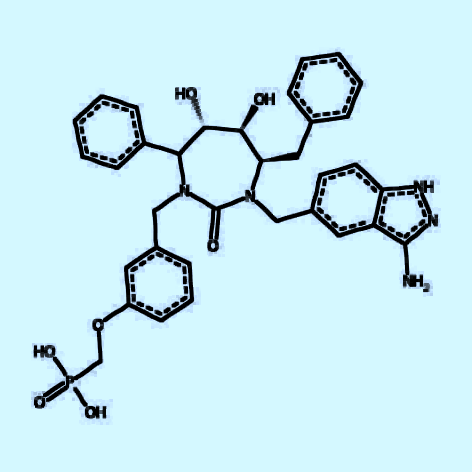 Nc1n[nH]c2ccc(CN3C(=O)N(Cc4cccc(OCP(=O)(O)O)c4)C(c4ccccc4)[C@H](O)[C@@H](O)[C@H]3Cc3ccccc3)cc12